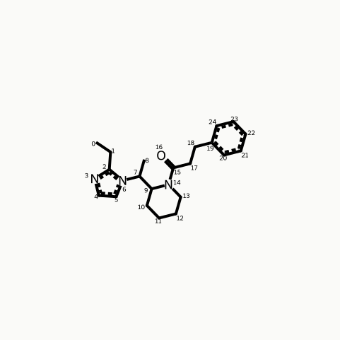 CCc1nccn1C(C)C1CCCCN1C(=O)CCc1ccccc1